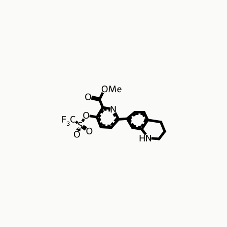 COC(=O)c1nc(-c2ccc3c(c2)NCCC3)ccc1OS(=O)(=O)C(F)(F)F